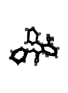 O=C(Cc1ccccc1)c1cccc(O)c1C1CCCCC1